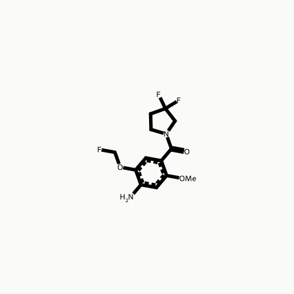 COc1cc(N)c(OCF)cc1C(=O)N1CCC(F)(F)C1